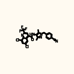 Cc1nn(Cc2ccc(C#N)cc2)c(C)c1NC(=O)c1cc(C(F)(F)F)nc2c(Cl)cc(Cl)cc12